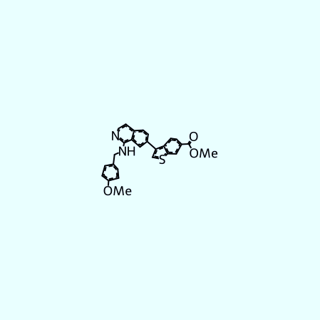 COC(=O)c1ccc2c(-c3ccc4ccnc(NCc5ccc(OC)cc5)c4c3)csc2c1